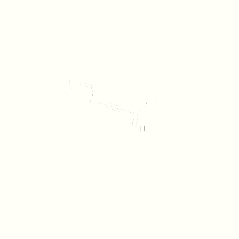 C=COC#C[SiH](C)C